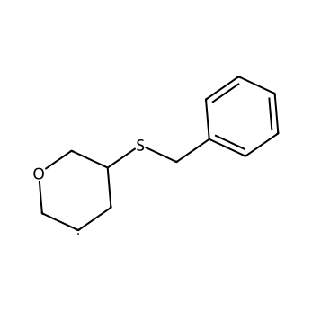 [CH]1COCC(SCc2ccccc2)C1